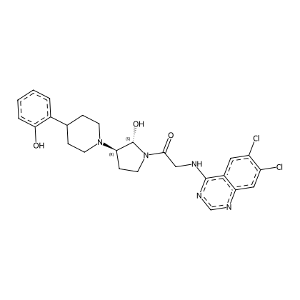 O=C(CNc1ncnc2cc(Cl)c(Cl)cc12)N1CC[C@@H](N2CCC(c3ccccc3O)CC2)[C@@H]1O